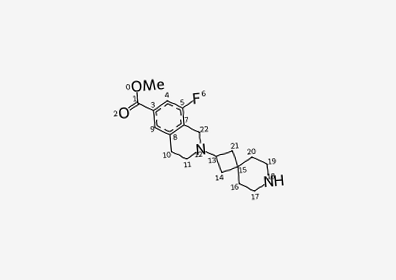 COC(=O)c1cc(F)c2c(c1)CCN(C1CC3(CCNCC3)C1)C2